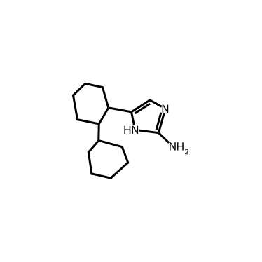 Nc1ncc(C2CCCCC2C2CCCCC2)[nH]1